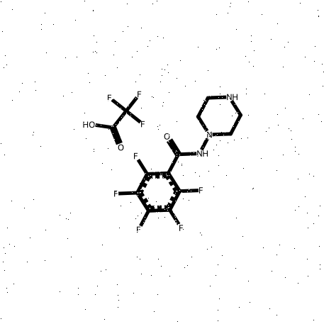 O=C(NN1CCNCC1)c1c(F)c(F)c(F)c(F)c1F.O=C(O)C(F)(F)F